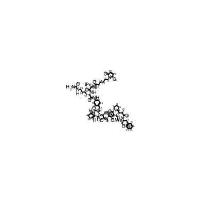 CC[C@H](C)[C@@H]([C@@H](CC(=O)N1CCC[C@H]1[C@H](OC)[C@@H](C)C(=O)N[C@H](COC)Cc1ccccc1)OC)N(C)C(=O)[C@@H](NC(=O)[C@@H]1[C@H]2CC[C@H](C2)N1C(=O)OCc1ccc(NC(=O)[C@H](CCCCNC(N)=O)NC(=O)[C@@H](NC(=O)CCCCCN2C(=O)C=CC2=O)C(C)C)cc1)C(C)C